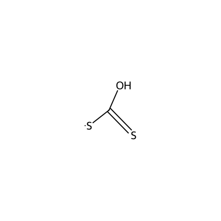 OC([S])=S